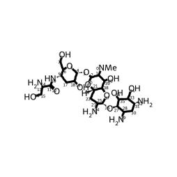 CNC1C(O[C@H]2OC(CO)[C@@H](NC(=O)[C@H](N)CO)CC2O)O[C@H]2CC(N)[C@@H](O[C@@H]3C(N)C[C@@H](N)C(O)C3O)OC2C1O